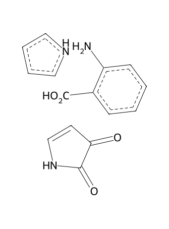 Nc1ccccc1C(=O)O.O=C1C=CNC1=O.c1cc[nH]c1